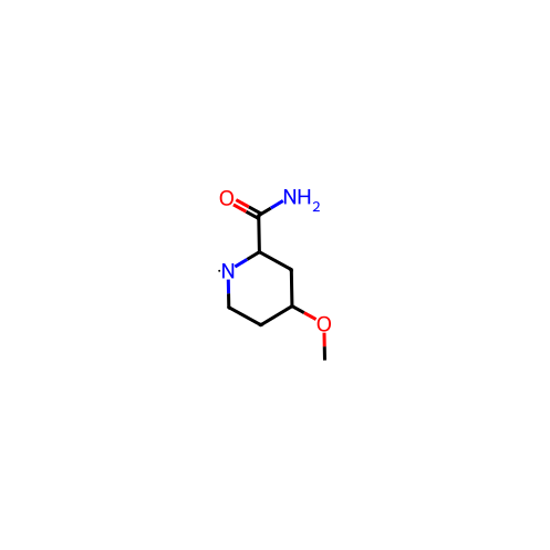 COC1CC[N]C(C(N)=O)C1